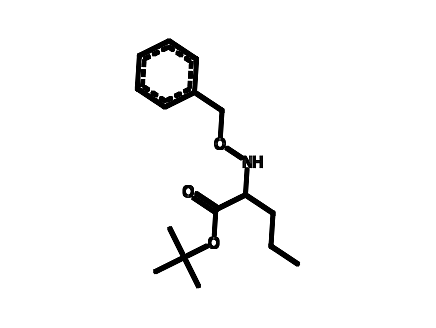 CCCC(NOCc1ccccc1)C(=O)OC(C)(C)C